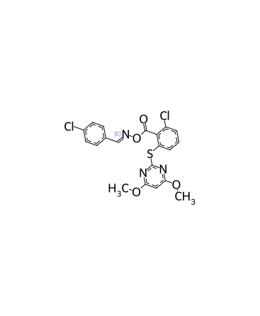 COc1cc(OC)nc(Sc2cccc(Cl)c2C(=O)O/N=C/c2ccc(Cl)cc2)n1